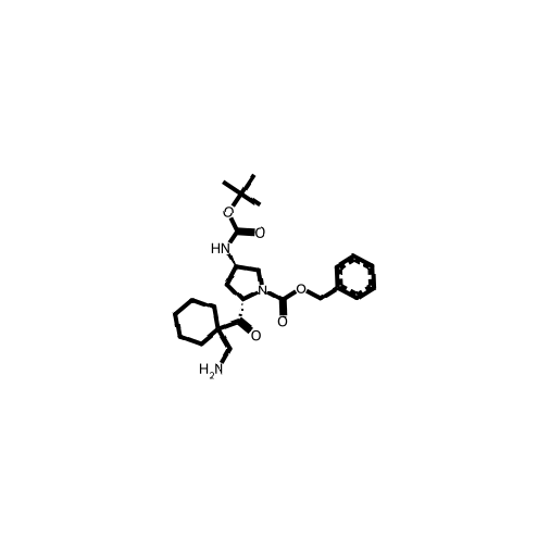 CC(C)(C)OC(=O)N[C@@H]1C[C@@H](C(=O)C2(CN)CCCCC2)N(C(=O)OCc2ccccc2)C1